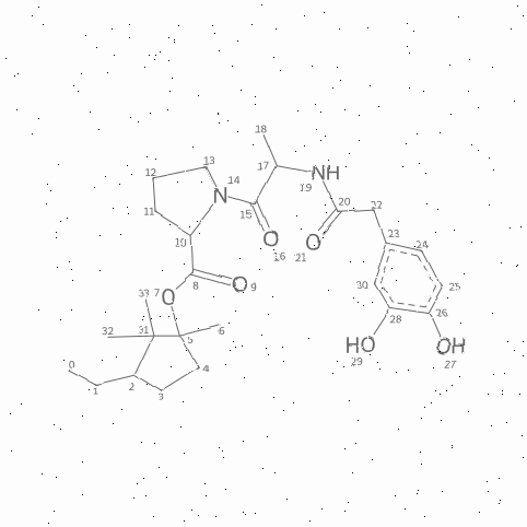 CCC1CCC(C)(OC(=O)C2CCCN2C(=O)C(C)NC(=O)Cc2ccc(O)c(O)c2)C1(C)C